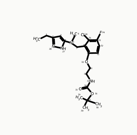 CCc1cc(N(C)Cc2c(OCCNC(=O)OC(C)(C)C)ccc(F)c2Cl)[nH]n1